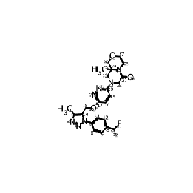 Cc1nnn(-c2ccc(C(F)F)cc2)c1COc1ccc(N2CC(=O)N3CCOC[C@@]3(C)C2)nn1